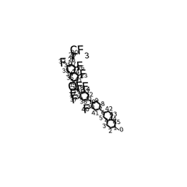 Cc1ccc2cc(-c3ccc(-c4cc(F)c(C(F)(F)Oc5cc(F)c6c(F)c(C#CC(F)(F)F)c(F)cc6c5)c(F)c4)c(F)c3)ccc2c1